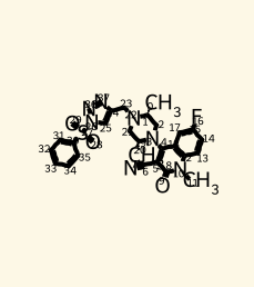 C[C@@H]1CN(c2c(C#N)c(=O)n(C)c3ccc(F)cc23)[C@@H](C)CN1Cc1cn(S(=O)(=O)c2ccccc2)nn1